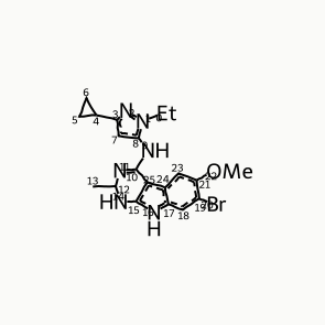 CCn1nc(C2CC2)cc1NC1=NC(C)Nc2[nH]c3cc(Br)c(OC)cc3c21